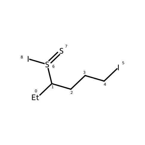 CCC(CCCI)S(=S)I